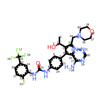 CC(O)c1c(-c2ccc(NC(=O)Nc3cc(C(F)(F)F)ccc3F)cc2)c2c(N)ncnn2c1CN1CCOCC1